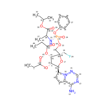 CCC(=O)O[C@H]1[C@H](c2ccc3c(N)ncnn23)O[C@](CF)(CO[P@@](=O)(NC(C)C(=O)OC(C)C)Oc2ccccc2)[C@H]1OC(=O)CC